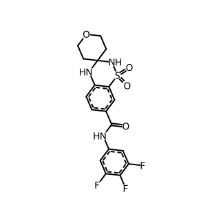 O=C(Nc1cc(F)c(F)c(F)c1)c1ccc2c(c1)S(=O)(=O)NC1(CCOCC1)N2